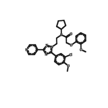 COc1ccc(-c2nc(-c3ccncc3)nn2CCN(C(=O)COc2ccccc2OC)C2CCCC2)cc1Cl